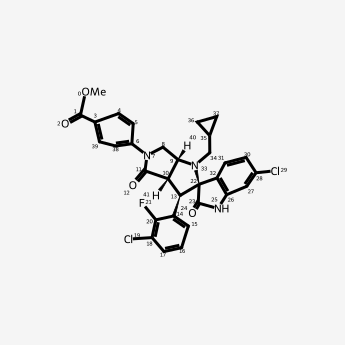 COC(=O)c1ccc(N2C[C@H]3[C@@H](C2=O)[C@H](c2cccc(Cl)c2F)[C@]2(C(=O)Nc4cc(Cl)ccc42)N3CC2CC2)cc1